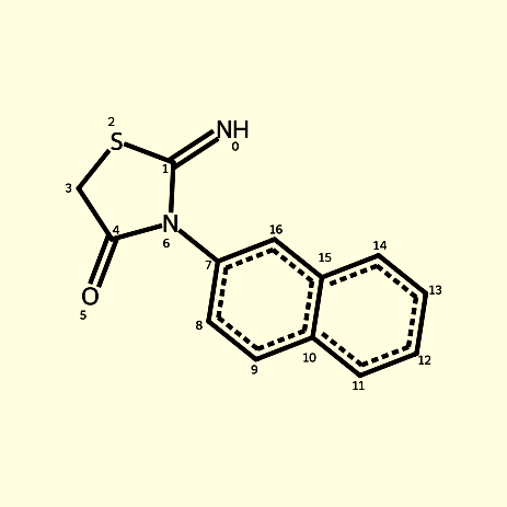 N=C1SCC(=O)N1c1ccc2ccccc2c1